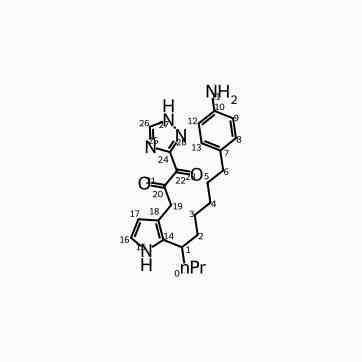 CCCC(CCCCCc1ccc(N)cc1)c1[nH]ccc1CC(=O)C(=O)c1nc[nH]n1